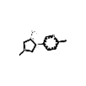 CN1C[C@H](c2ccc(F)nc2)[C@@H](N)C1